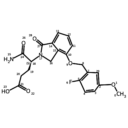 COc1ccc(F)c(COc2cccc3c2CN([C@@H](CCC(=O)O)C(N)=O)C3=O)c1